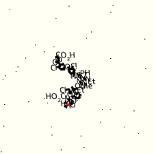 CCNc1nc(Cl)nc(NC(C)C)n1.CCc1cccc(C)c1N(C(=O)CCl)C(C)COC.C[C@H](OC(=O)c1cc(Oc2ccc(C(F)(F)F)cc2Cl)ccc1Cl)C(=O)O.C[S+](C)C.O=C(O)CNCP(=O)([O-])O